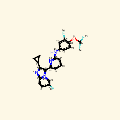 Fc1ccc2nc(C3CC3)c(-c3cccc(Nc4ccc(OC(F)F)c(F)c4)n3)n2c1